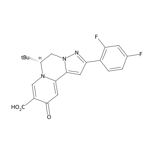 CC(C)(C)[C@@H]1Cn2nc(-c3ccc(F)cc3F)cc2-c2cc(=O)c(C(=O)O)cn21